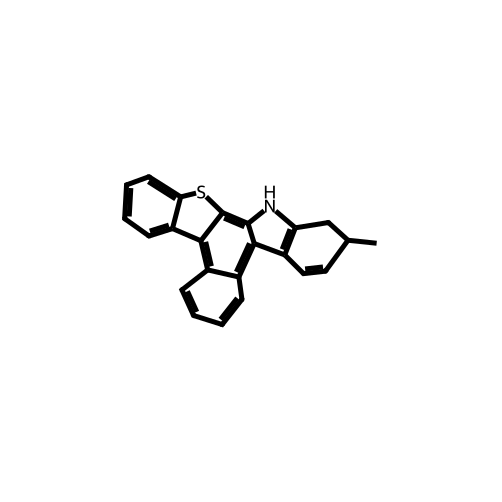 CC1C=Cc2c([nH]c3c4sc5ccccc5c4c4ccccc4c23)C1